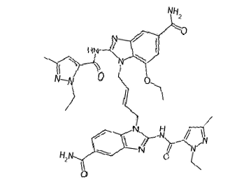 CCOc1cc(C(N)=O)cc2nc(NC(=O)c3cc(C)nn3CC)n(CC=CCn3c(NC(=O)c4cc(C)nn4CC)nc4cc(C(N)=O)ccc43)c12